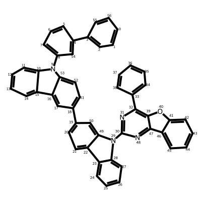 c1ccc(-c2cccc(-n3c4ccccc4c4cc(-c5ccc6c7ccccc7n(-c7nc(-c8ccccc8)c8oc9ccccc9c8n7)c6c5)ccc43)c2)cc1